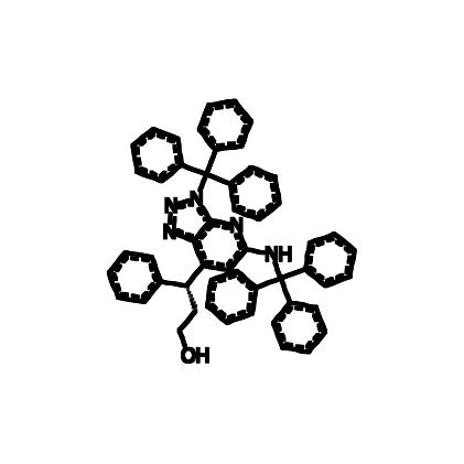 OCC[C@H](c1ccccc1)c1cc(NC(c2ccccc2)(c2ccccc2)c2ccccc2)nc2c1nnn2C(c1ccccc1)(c1ccccc1)c1ccccc1